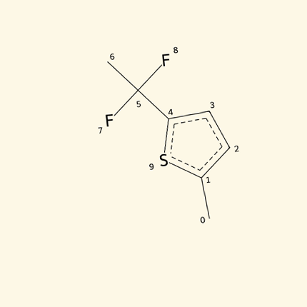 Cc1ccc(C(C)(F)F)s1